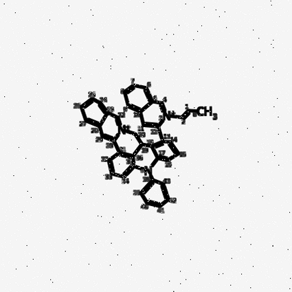 C/C=C/[n+]1cc2ccccc2cc1-c1cccc2c1C1C[n+]3cc4ccccc4cc3-c3cccc(c31)N2c1ccccc1